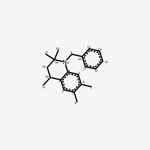 Cc1cc2c(cc1C)N(Cc1ccccc1)C(C)(C)CC2C